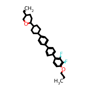 C=CC1CCC(C2CCC(c3ccc(-c4ccc(-c5ccc(OCCC)c(F)c5F)cc4)cc3)CC2)OC1